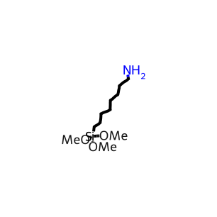 CO[Si](CCCCCCCCN)(OC)OC